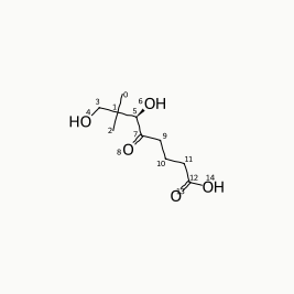 CC(C)(CO)[C@@H](O)C(=O)CCCC(=O)O